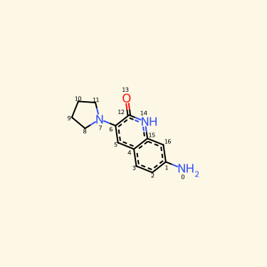 Nc1ccc2cc(N3CCCC3)c(=O)[nH]c2c1